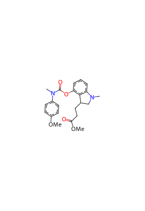 COC(=O)CCC1CN(C)c2cccc(OC(=O)N(C)c3ccc(OC)cc3)c21